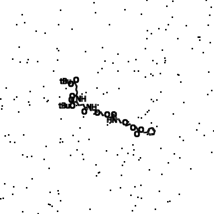 CC(C)(C)OC(=O)CCCC(=O)NC(CCC(=O)NCCOCCOCC(=O)NCCOCCOCC(=O)OCc1ccccc1)C(=O)OC(C)(C)C